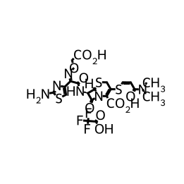 CN(C)C(=O)/C=C\SC1=C(C(=O)O)N2C(=O)[C@@H](NC(=O)/C(=N\OCC(=O)O)c3csc(N)n3)[C@@H]2SC1.O=C(O)C(F)(F)F